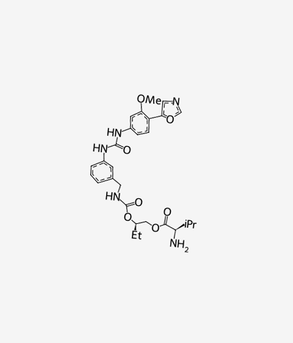 CC[C@H](COC(=O)[C@H](N)C(C)C)OC(=O)NCc1cccc(NC(=O)Nc2ccc(-c3cnco3)c(OC)c2)c1